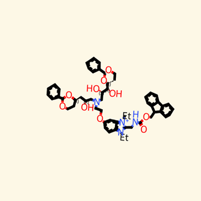 CCn1c(CNC(=O)OCC2c3ccccc3-c3ccccc32)[n+](CC)c2cc(OCCN(C[C@H](O)C[C@H]3CCOC(c4ccccc4)O3)C[C@H](O)[C@@H](O)[C@H]3CCOC(c4ccccc4)O3)ccc21